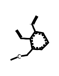 C=[C]c1cccc(CCC)c1C=C